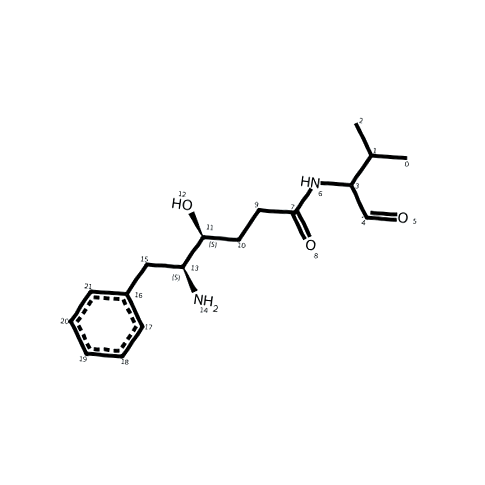 CC(C)C([C]=O)NC(=O)CC[C@H](O)[C@@H](N)Cc1ccccc1